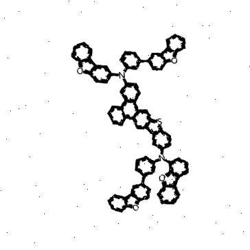 c1cc(-c2ccc3oc4ccccc4c3c2)cc(N(c2ccc3oc4ccccc4c3c2)c2ccc3c(c2)c2ccccc2c2cc4c(cc32)sc2ccc(N(c3cccc(-c5ccc6oc7ccccc7c6c5)c3)c3cccc5c3oc3ccccc35)cc24)c1